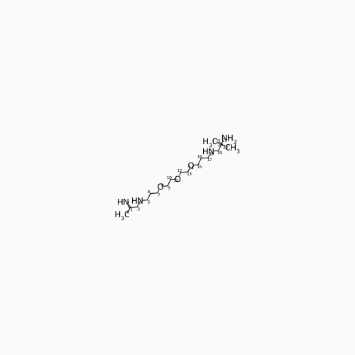 CC(=N)CNCCCOCCOCCOCCCNCC(C)(C)N